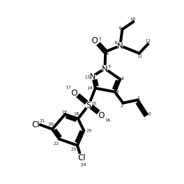 C=CCc1cn(C(=O)N(CC)CC)nc1S(=O)(=O)c1cc(Cl)cc(Cl)c1